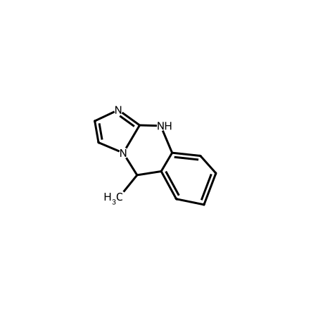 CC1c2ccccc2Nc2nccn21